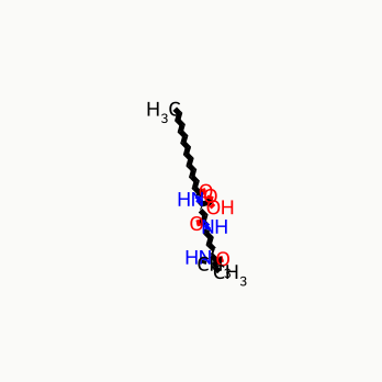 CCCCCCCCCCCCCCCC(=O)N[C@@H](CCC(=O)NCCCC[C@H](NC)C(=O)CC)C(=O)O